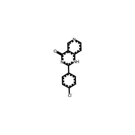 O=c1nc(-c2ccc(Cl)cc2)[nH]c2ccncc12